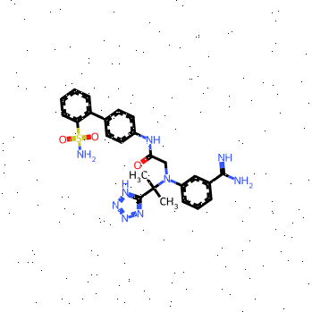 CC(C)(c1nnn[nH]1)N(CC(=O)Nc1ccc(-c2ccccc2S(N)(=O)=O)cc1)c1cccc(C(=N)N)c1